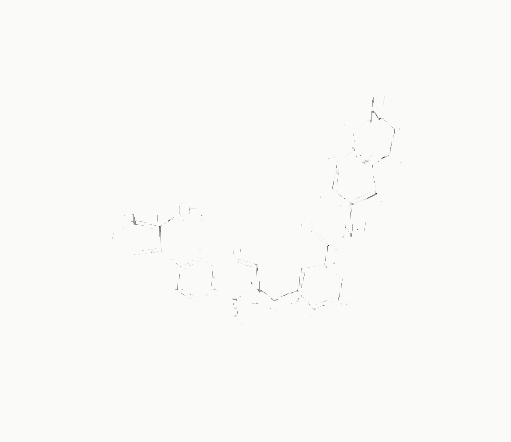 Cc1nocc1-c1ccc2c(=O)n(Cc3cccc(C(=O)Nc4ccc5c(c4)CCNC5)c3)ccc2c1